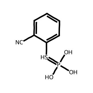 N#Cc1ccccc1[SH]=P(O)(O)O